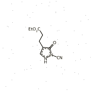 CCOC(=O)CCc1c[nH]n(C#N)c1=O